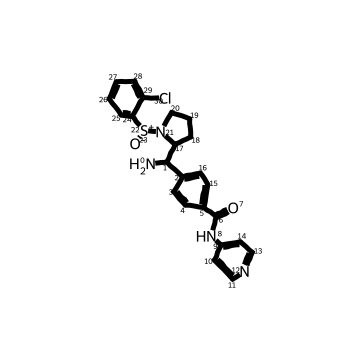 NC(c1ccc(C(=O)Nc2ccncc2)cc1)C1CCCN1[S+]([O-])c1ccccc1Cl